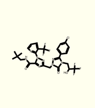 CC(C)(C)CNC(=O)c1nc(Cn2nc(-c3ccc(Cl)cc3)n(CC(O)C(F)(F)F)c2=O)nn1-c1ncccc1C(F)(F)F